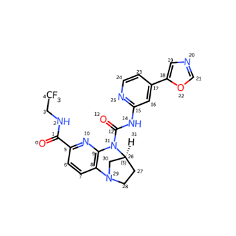 O=C(NCC(F)(F)F)c1ccc2c(n1)N(C(=O)Nc1cc(-c3cnco3)ccn1)[C@H]1CCN2C1